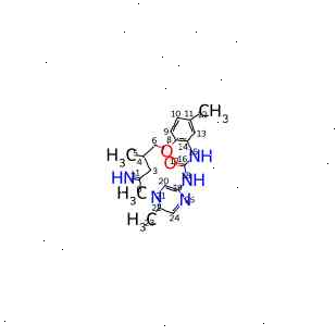 CC(=N)CC(C)COc1ccc(C)cc1NC(=O)Nc1cnc(C)cn1